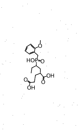 CCC(CC(CCC(=O)O)C(=O)O)P(=O)(O)Cc1ccccc1OC